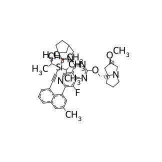 CO[C@H]1CN2CCC[C@@]2(COc2nc(N3CC4CCC(C4)C3)c3cnc(-c4cc(C)cc5cccc(C#C[Si](C(C)C)(C(C)C)C(C)C)c45)c(F)c3n2)C1